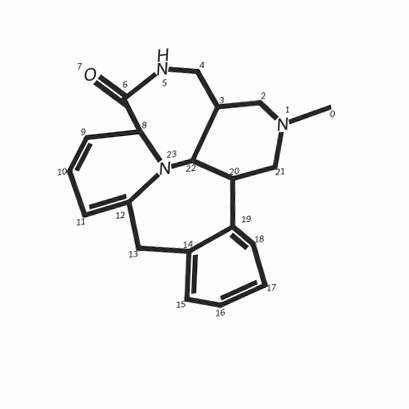 CN1CC2CNC(=O)C3C=CC=C4Cc5ccccc5C(C1)C2N43